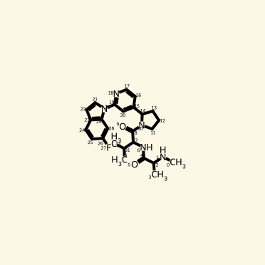 CNC(C)C(=O)NC(C(=O)N1CCCC1c1ccnc(-n2ccc3ccc(F)cc32)c1)C(C)C